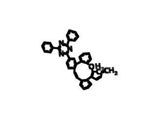 C=C/C=C\C1=C(/C)Oc2ccccc2-c2cc(-c3nc(-c4ccccc4)nc(-c4ccccc4)n3)ccc2/C=C\c2ccccc21